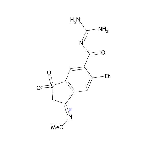 CCc1cc2c(cc1C(=O)N=C(N)N)S(=O)(=O)C/C2=N\OC